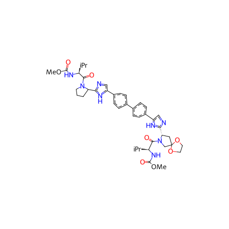 COC(=O)N[C@H](C(=O)N1CCCC1c1ncc(-c2ccc(-c3ccc(-c4cnc([C@@H]5CC6(CN5C(=O)[C@@H](NC(=O)OC)C(C)C)OCCO6)[nH]4)cc3)cc2)[nH]1)C(C)C